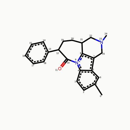 Cc1ccc2c(c1)c1c3n2C(=O)C(c2ccccc2)CCC3CN(C)C1